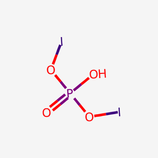 O=P(O)(OI)OI